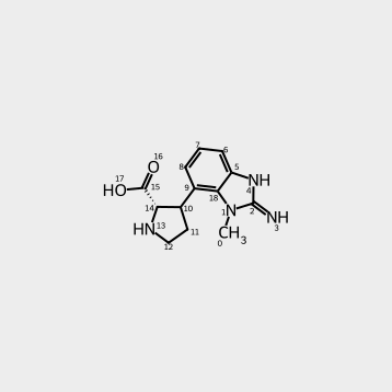 Cn1c(=N)[nH]c2cccc(C3CCN[C@@H]3C(=O)O)c21